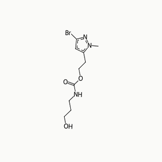 Cn1nc(Br)cc1CCOC(=O)NCCCO